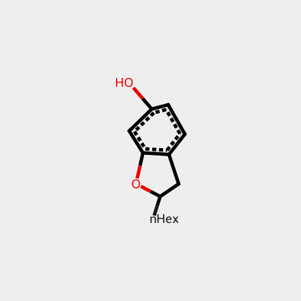 CCCCCCC1Cc2ccc(O)cc2O1